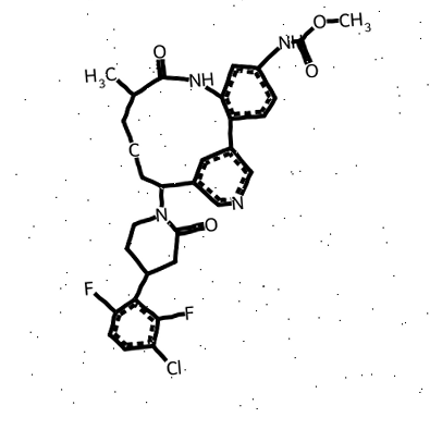 COC(=O)Nc1ccc2c(c1)NC(=O)C(C)CCCC(N1CCC(c3c(F)ccc(Cl)c3F)CC1=O)c1cncc-2c1